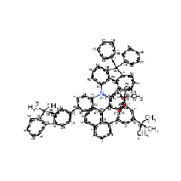 CC(C)(C)c1cc(-c2cccc3cccc(-c4ccccc4N(c4ccc(-c5ccc6c(c5)C(C)(C)c5ccccc5-6)cc4)c4cccc5c4-c4ccccc4C5(c4ccccc4)c4ccccc4)c23)cc(C(C)(C)C)c1